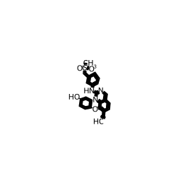 C#Cc1ccc2cnc(Nc3cccc(CS(C)(=O)=O)c3)nc2c1O[C@H]1CC[C@@H](O)CC1